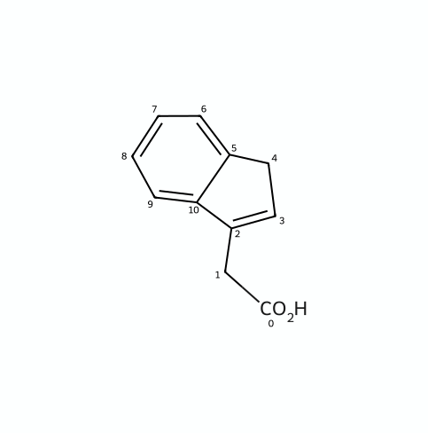 O=C(O)CC1=CCc2ccccc21